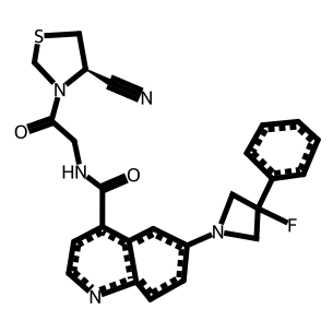 N#C[C@@H]1CSCN1C(=O)CNC(=O)c1ccnc2ccc(N3CC(F)(c4ccccc4)C3)cc12